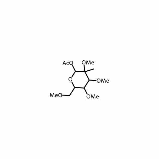 COCC1OC(OC(C)=O)C(C)(OC)C(OC)C1OC